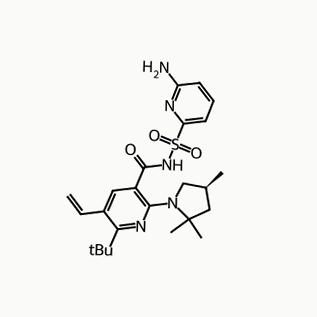 C=Cc1cc(C(=O)NS(=O)(=O)c2cccc(N)n2)c(N2C[C@@H](C)CC2(C)C)nc1C(C)(C)C